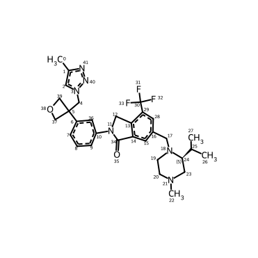 Cc1cn(CC2(c3cccc(N4Cc5c(cc(CN6CCN(C)C[C@@H]6C(C)C)cc5C(F)(F)F)C4=O)c3)COC2)nn1